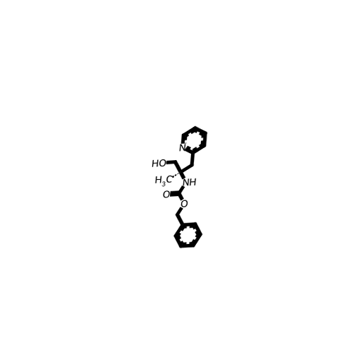 C[C@](CO)(Cc1ccccn1)NC(=O)OCc1ccccc1